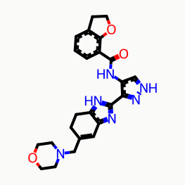 O=C(Nc1c[nH]nc1-c1nc2c([nH]1)CCC(CN1CCOCC1)=C2)c1cccc2c1OCC2